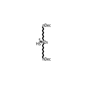 CCCCCCCCCCCCCCCCCCN(CCCCCCCCCCCCCCCCCC)C(=S)S.[Zn]